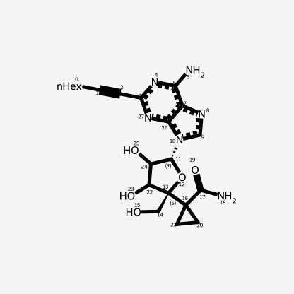 CCCCCCC#Cc1nc(N)c2ncn([C@@H]3O[C@](CO)(C4(C(N)=O)CC4)C(O)C3O)c2n1